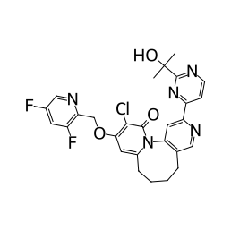 CC(C)(O)c1nccc(-c2cc3c(cn2)CCCCc2cc(OCc4ncc(F)cc4F)c(Cl)c(=O)n2-3)n1